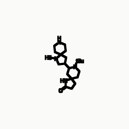 CC(C)(C)N1CCC2(CCC(=O)N2)CC1C1CN(S)C2(CCNCC2)C1